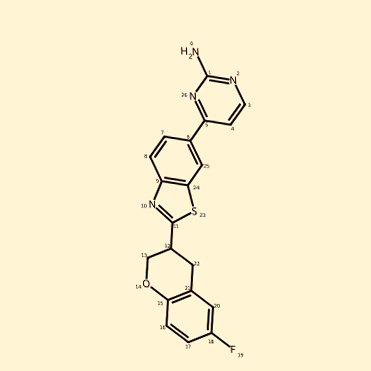 Nc1nccc(-c2ccc3nc(C4COc5ccc(F)cc5C4)sc3c2)n1